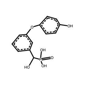 O=P(O)(O)C(O)c1cccc(Oc2ccc(O)cc2)c1